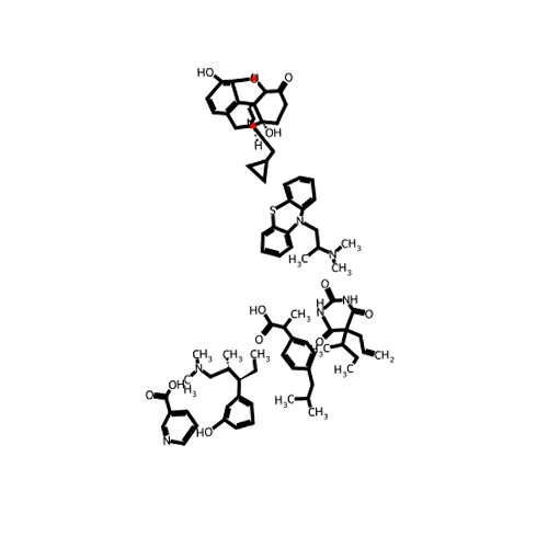 C=CCC1(C(C)CC)C(=O)NC(=O)NC1=O.CC(C)Cc1ccc(C(C)C(=O)O)cc1.CC(CN1c2ccccc2Sc2ccccc21)N(C)C.CC[C@@H](c1cccc(O)c1)[C@@H](C)CN(C)C.O=C(O)c1cccnc1.O=C1CC[C@@]2(O)[C@H]3Cc4ccc(O)c5c4[C@@]2(CCN3CC2CC2)[C@H]1O5